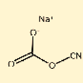 N#COC(=O)[O-].[Na+]